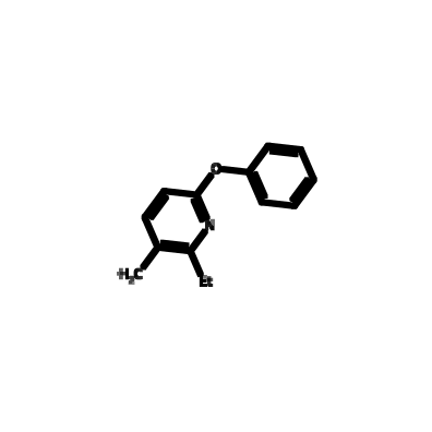 [CH2]c1ccc(Oc2ccccc2)nc1CC